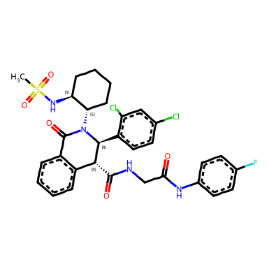 CS(=O)(=O)N[C@H]1CCCC[C@@H]1N1C(=O)c2ccccc2[C@@H](C(=O)NCC(=O)Nc2ccc(F)cc2)[C@@H]1c1ccc(Cl)cc1Cl